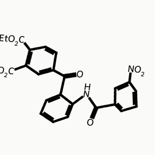 CCOC(=O)c1ccc(C(=O)c2ccccc2NC(=O)c2cccc([N+](=O)[O-])c2)cc1C(=O)O